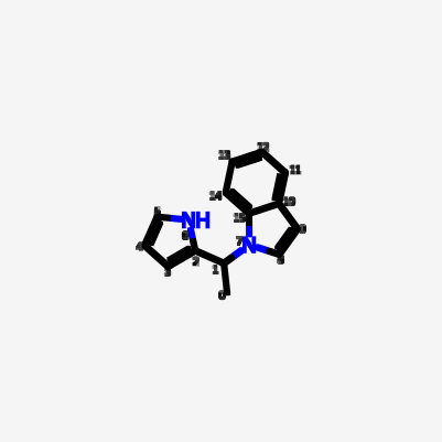 CC(c1ccc[nH]1)n1ccc2ccccc21